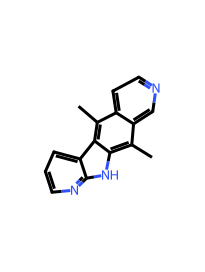 Cc1c2cnccc2c(C)c2c1[nH]c1ncccc12